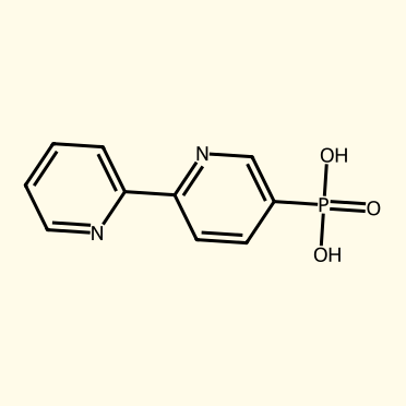 O=P(O)(O)c1ccc(-c2ccccn2)nc1